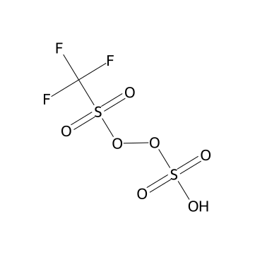 O=S(=O)(O)OOS(=O)(=O)C(F)(F)F